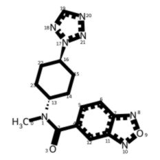 CN(C(=O)c1ccc2nonc2c1)[C@H]1CC[C@H](n2ncnn2)CC1